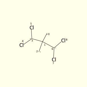 [CH2]C([CH2])([C](Cl)Cl)[C](Cl)Cl